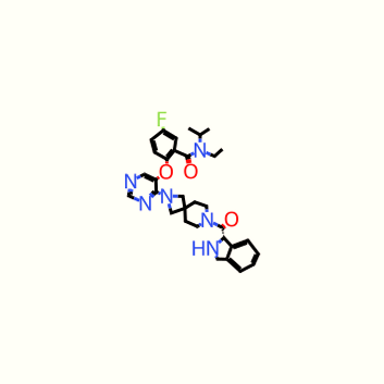 CCN(C(=O)c1cc(F)ccc1Oc1cncnc1N1CC2(CCN(C(=O)[C@H]3NCc4ccccc43)CC2)C1)C(C)C